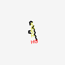 OCCCCCC(CCC[SH]1C=CC=C1)[SH]1C=CC=C1